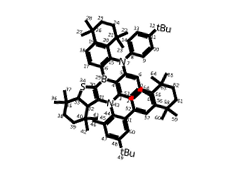 Cc1cc2c3c(c1)N(c1ccc(C(C)(C)C)cc1)c1c(ccc4c1C(C)(C)CCC4(C)C)B3C1=C(C3C(S1)C(C)(C)CCC3(C)C)N2c1c(C)cc(C(C)(C)C)cc1-c1ccc2c(c1)C(C)(C)CCC2(C)C